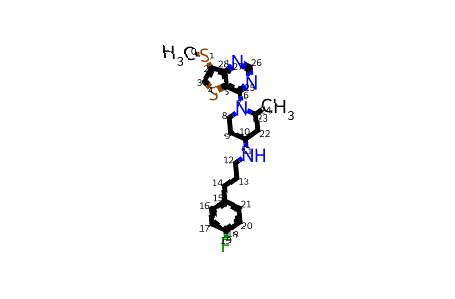 CSc1csc2c(N3CCC(NCCCc4ccc(F)cc4)CC3C)ncnc12